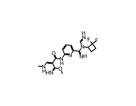 CN/C=C(\C(=N)OC)C(=O)Nc1cccc(C(=N)N(C=N)C2CCC2(F)F)n1